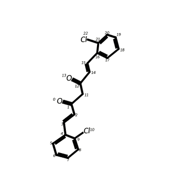 O=C(/C=C/c1ccccc1Cl)CC(=O)/C=C/c1ccccc1Cl